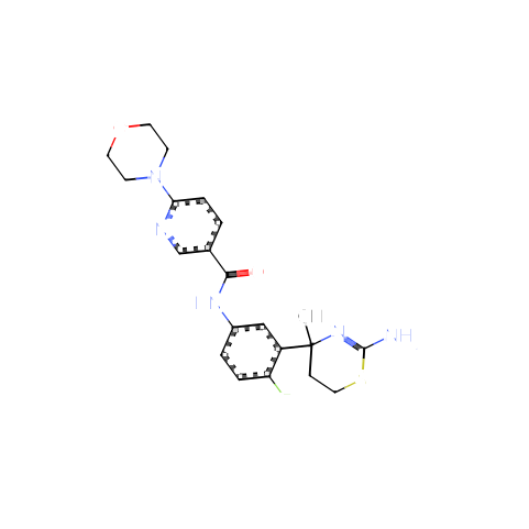 CC1(c2cc(NC(=O)c3ccc(N4CCOCC4)nc3)ccc2F)CCSC(N)=N1